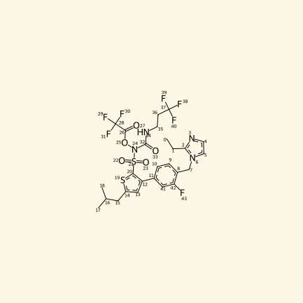 CCc1nccn1Cc1ccc(-c2cc(CC(C)C)sc2S(=O)(=O)N(OC(=O)C(F)(F)F)C(=O)NCCC(F)(F)F)cc1F